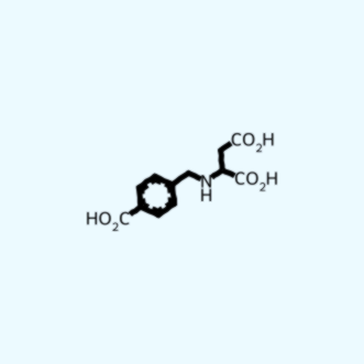 O=C(O)CC(NCc1ccc(C(=O)O)cc1)C(=O)O